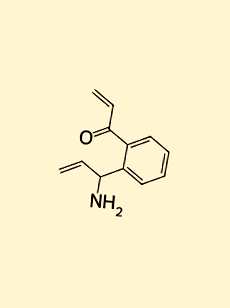 C=CC(=O)c1ccccc1C(N)C=C